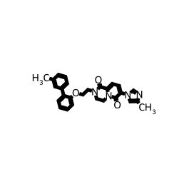 Cc1cccc(-c2ccccc2OCCN2CCn3c(ccc(-n4cnc(C)c4)c3=O)C2=O)c1